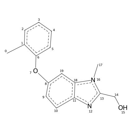 Cc1ccccc1Oc1ccc2nc(CO)n(C)c2c1